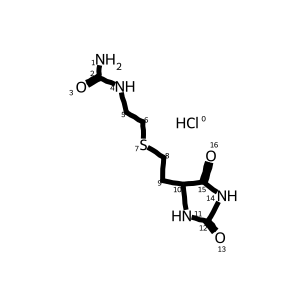 Cl.NC(=O)NCCSCCC1NC(=O)NC1=O